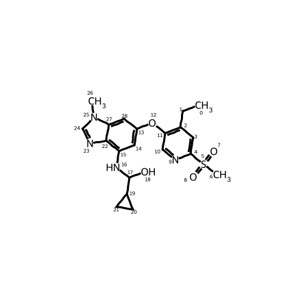 CCc1cc(S(C)(=O)=O)ncc1Oc1cc(NC(O)C2CC2)c2ncn(C)c2c1